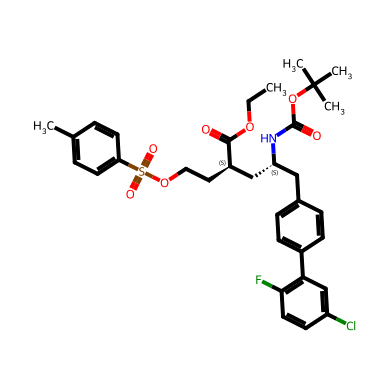 CCOC(=O)[C@H](CCOS(=O)(=O)c1ccc(C)cc1)C[C@@H](Cc1ccc(-c2cc(Cl)ccc2F)cc1)NC(=O)OC(C)(C)C